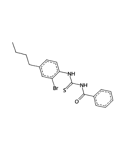 CCCCc1ccc(NC(=S)NC(=O)c2ccccc2)c(Br)c1